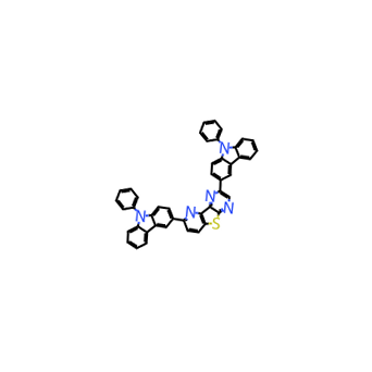 c1ccc(-n2c3ccccc3c3cc(-c4ccc5sc6ncc(-c7ccc8c(c7)c7ccccc7n8-c7ccccc7)nc6c5n4)ccc32)cc1